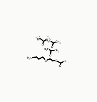 CC(C)[O-].CC(C)[O-].CC(C)[O-].CCCCOCCOC(C)[O-].[Ti+4]